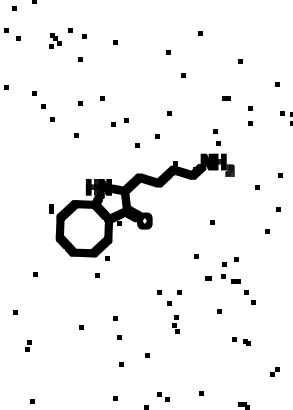 NCCCCC1NC2CCCCCCC2C1=O